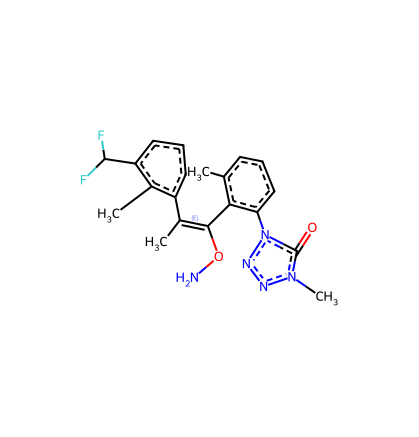 C/C(=C(\ON)c1c(C)cccc1-n1nnn(C)c1=O)c1cccc(C(F)F)c1C